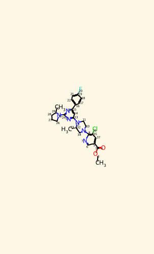 CCOC(=O)c1cnc(N2CCN(c3cc(-c4ccc(F)cc4)nc(N4CCCC4C)n3)[C@H](C)C2)c(Cl)c1